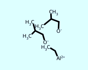 CC(C)C[O-].CC(C)C[O-].C[CH2][Al+2]